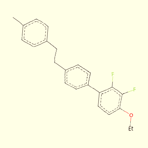 CCOc1ccc(-c2ccc(CCc3ccc(C)cc3)cc2)c(F)c1F